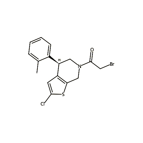 Cc1ccccc1[C@H]1CN(C(=O)CBr)Cc2sc(Cl)cc21